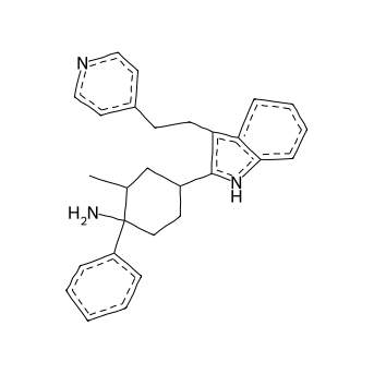 CC1CC(c2[nH]c3ccccc3c2CCc2ccncc2)CCC1(N)c1ccccc1